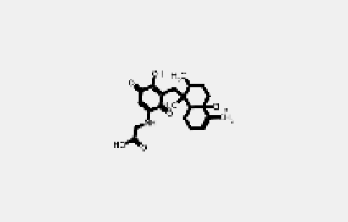 CC1=CCCC2C1(C)CCC(C)C2(C)CC1=C(O)C(=O)C=C(NCC(=O)O)C1=O